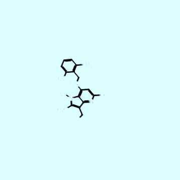 CCn1c(C)c(CO)c2nc(C(=O)O)cc(NCc3c(C)cccc3C)c21